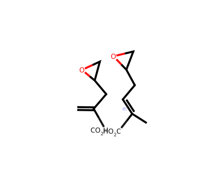 C/C(=C\CC1CO1)C(=O)O.C=C(CC1CO1)C(=O)O